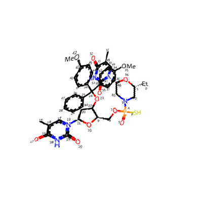 CC[C@@H]1CN(P(=O)(S)OC[C@H]2O[C@@H](n3cc(C)c(=O)[nH]c3=O)CC2OC(c2ccccc2)(c2ccc(OC)cc2)c2ccc(OC)cc2)C[C@H](n2cc(C)c(=O)[nH]c2=O)O1